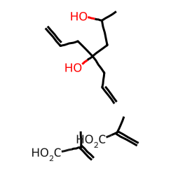 C=C(C)C(=O)O.C=C(C)C(=O)O.C=CCC(O)(CC=C)CC(C)O